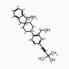 CC(C)(O)C#Cc1cnc(N2CCC3(CC2)Cc2ccccc2[C@H]3N)c(CO)n1